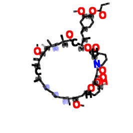 C=C1[C@H](C)C[C@H](C)/C=C/C=C/C=C(\C)[C@@H](OC)C[C@@H]2CC[C@@H](C)[C@@](O)(O2)C(=O)C(=O)N2CCCC[C@H]2C(=O)O[C@H]([C@H](C)C[C@@H]2CC[C@@H](OC(=O)CC)[C@H](OC)C2)CC(=O)[C@H](C)/C=C(\C)[C@@H](C)[C@H]1OC